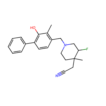 Cc1c(CN2CCC(C)(CC#N)C(F)C2)ccc(-c2ccccc2)c1O